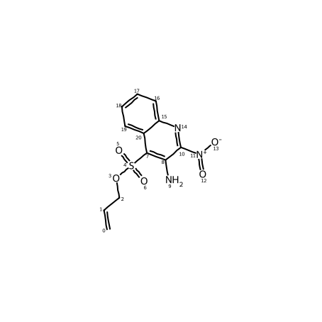 C=CCOS(=O)(=O)c1c(N)c([N+](=O)[O-])nc2ccccc12